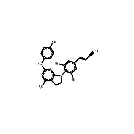 C#C/C=C/c1cc(CC)c(N2CCc3c(C)nc(Nc4ccc(C#N)cc4)nc32)c(CC)c1